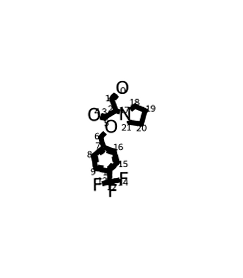 O=CC(C(=O)OCc1ccc(C(F)(F)F)cc1)N1CCCC1